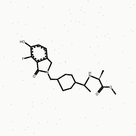 COC(=O)[C@H](C)NC(C)C1CCC(CN2Cc3ccc(O)c(F)c3C2=O)CC1